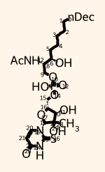 CCCCCCCCCCCCCCC[C@@H](O)[C@H](COP(=O)(O)OC[C@H]1O[C@@H](n2ccc(=O)[nH]c2=S)C(C)(O)[C@H]1O)NC(C)=O